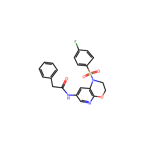 O=C(Cc1ccccc1)Nc1cnc2c(c1)N(S(=O)(=O)c1ccc(F)cc1)CCO2